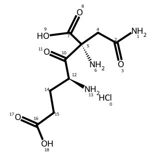 Cl.NC(=O)C[C@](N)(C(=O)O)C(=O)[C@@H](N)CCC(=O)O